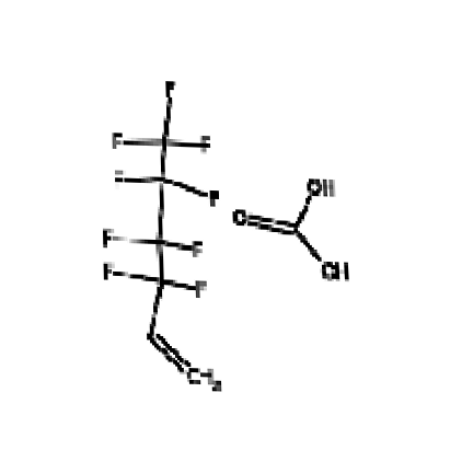 C=CC(F)(F)C(F)(F)C(F)(F)C(F)(F)F.O=C(O)O